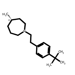 C[C@H]1CCCN(CCc2ccc(C(C)(C)C)cc2)CC1